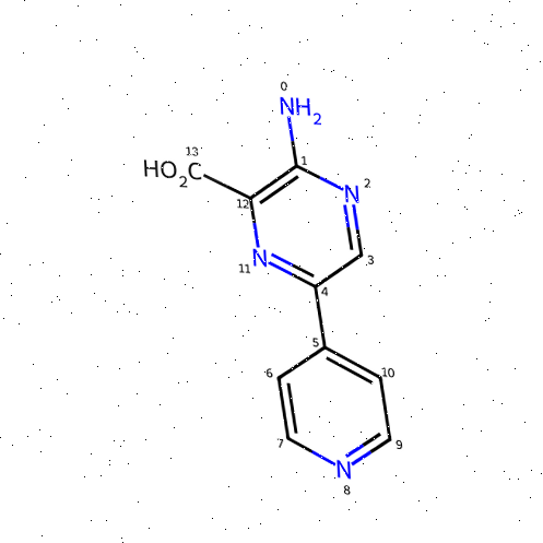 Nc1ncc(-c2ccncc2)nc1C(=O)O